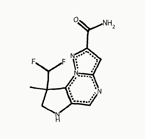 CC1(C(F)F)CNc2cnc3cc(C(N)=O)nn3c21